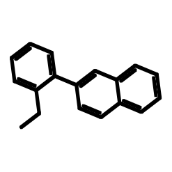 CCc1ccccc1-c1ccc2ccccc2c1